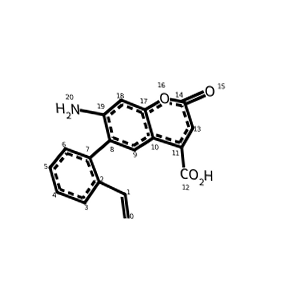 C=Cc1ccccc1-c1cc2c(C(=O)O)cc(=O)oc2cc1N